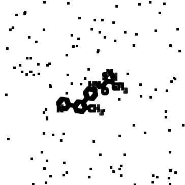 Cc1ccc(-c2cccnc2)cc1-c1ccc(NC(=O)c2snnc2C)cc1